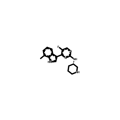 Cc1cccc2c(-c3nc(N[C@H]4CCCNC4)ncc3F)c[nH]c12